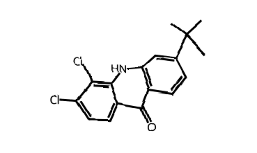 CC(C)(C)c1ccc2c(=O)c3ccc(Cl)c(Cl)c3[nH]c2c1